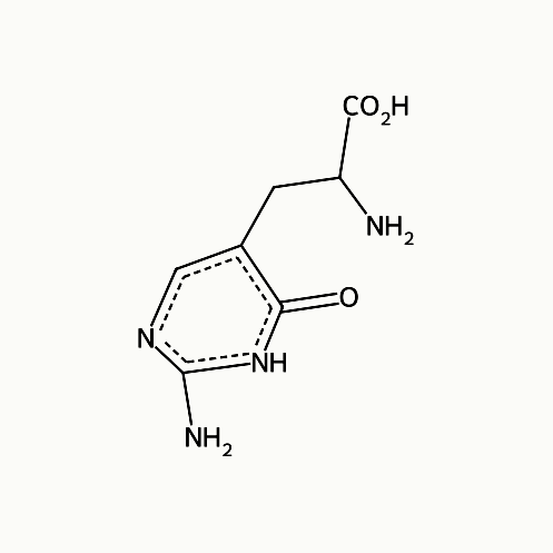 Nc1ncc(CC(N)C(=O)O)c(=O)[nH]1